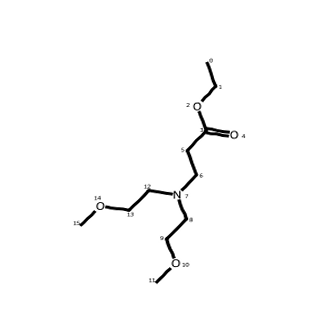 CCOC(=O)CCN(CCOC)CCOC